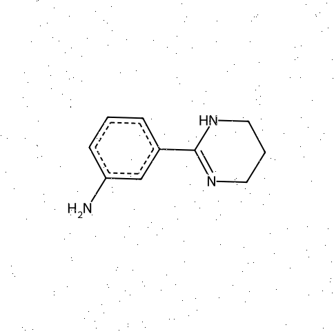 Nc1cccc(C2=NCCCN2)c1